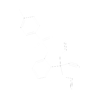 C=COC(C#N)(OC=C)c1ccccc1OS(=O)(=O)c1ccc(C)cc1